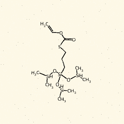 C=COC(=O)SCCC[Si](O[SiH](C)C)(O[SiH](C)C)O[SiH](C)C